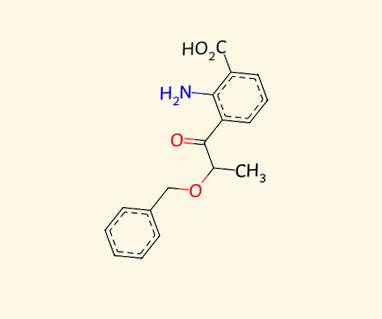 CC(OCc1ccccc1)C(=O)c1cccc(C(=O)O)c1N